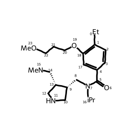 CCc1ccc(C(=O)N(C[C@@H]2CNC[C@@H]2CNC)C(C)C)cc1OCCCOC